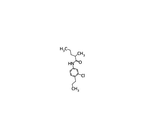 CCCc1ccc(NC(=O)C(C)CCC)cc1Cl